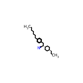 CCCCCCCc1ccc(CC(C#N)[C@H]2CC[C@H](CCC)CC2)cc1